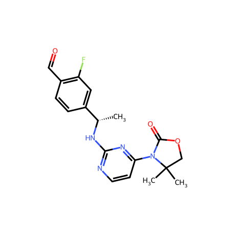 C[C@H](Nc1nccc(N2C(=O)OCC2(C)C)n1)c1ccc(C=O)c(F)c1